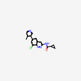 Cc1ccncc1-c1cc(Cl)c2nnc(NC(=O)C3CC3)cc2c1